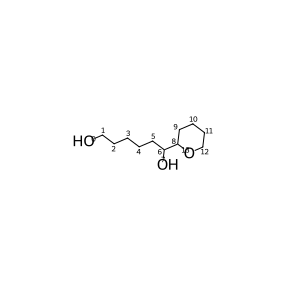 OCCCCCC(O)C1CCCCO1